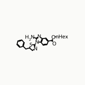 CCCCCCOC(=O)c1ccc2c(c1)nc(N)n2C1=NCC(Cc2ccccc2)S1